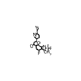 Cn1c(C(F)(F)F)nc2c3oc(-c4ccc(C#N)nc4)cc(=O)c3cc(F)c21